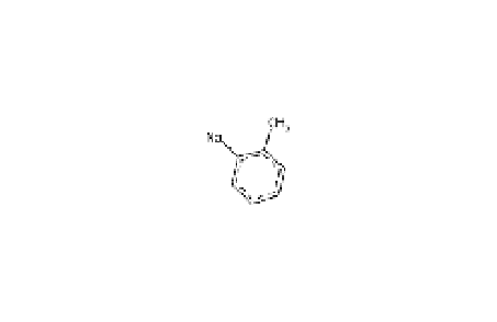 Cc1cccc[c]1[Na]